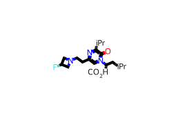 CC(C)CC(C(=O)O)n1cc(CCN2CC(F)C2)nc(C(C)C)c1=O